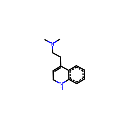 CN(C)CCC1=CCNc2ccccc21